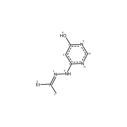 CC/C(C)=N/Nc1cc(O)ncn1